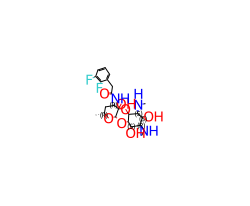 CN[C@@H]1[C@H](O)[C@H](NC)C2OC3(O)C(OC2[C@H]1O)O[C@H](C)C[C@H]3NC(=O)Cc1cccc(F)c1F